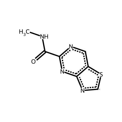 CNC(=O)c1ncc2s[c]nc2n1